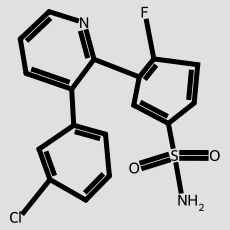 NS(=O)(=O)c1ccc(F)c(-c2ncccc2-c2cccc(Cl)c2)c1